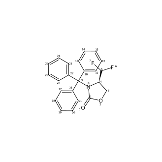 O=C1OC[C@H](C(F)F)N1C(c1ccccc1)(c1ccccc1)c1ccccc1